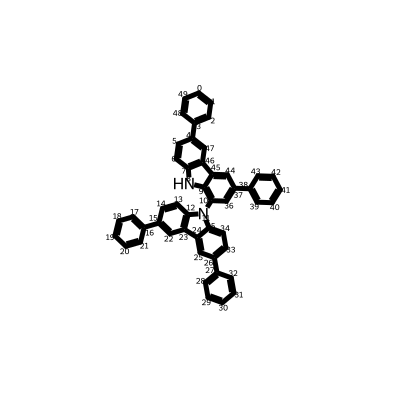 c1ccc(-c2ccc3[nH]c4c(-n5c6ccc(-c7ccccc7)cc6c6cc(-c7ccccc7)ccc65)cc(-c5ccccc5)cc4c3c2)cc1